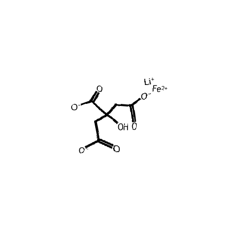 O=C([O-])CC(O)(CC(=O)[O-])C(=O)[O-].[Fe+2].[Li+]